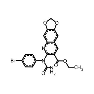 CCOC(=O)c1cc2cc3c(cc2nc1N(C(N)=O)c1ccc(Br)cc1)OCO3